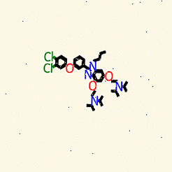 CCCCn1c(-c2cccc(Oc3ccc(Cl)c(Cl)c3)c2)nc2c(OCCN(C(C)C)C(C)C)cc(OCCN(C(C)C)C(C)C)cc21